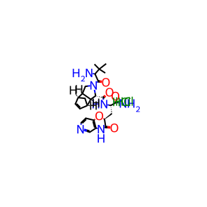 CC(C)(C)[C@H](N)C(=O)N1C[C@H]2[C@@H]([C@H]1C(=O)N[C@@H](C[C@@H]1Oc3ccncc3NC1=O)C(N)=O)[C@H]1C=C[C@@H]2C1.Cl.Cl